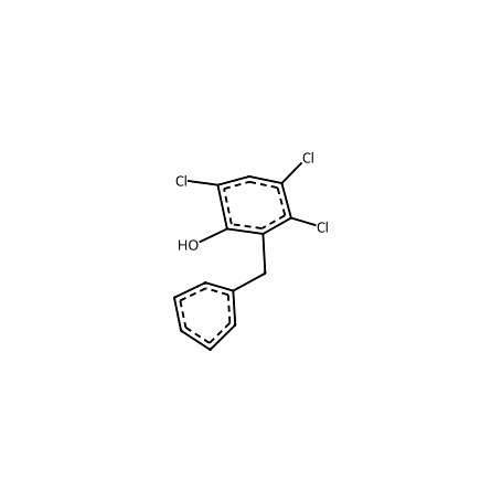 Oc1c(Cl)cc(Cl)c(Cl)c1Cc1ccccc1